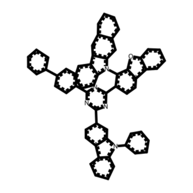 c1ccc(-c2ccc(-c3nc(-c4ccc5c6ccccc6n(-c6ccccc6)c5c4)nc(-c4ccc5c(oc6ccccc65)c4-n4c5ccccc5c5cc6ccccc6cc54)n3)cc2)cc1